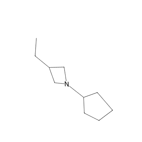 CCC1CN(C2CCCC2)C1